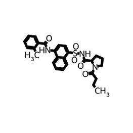 CCCC(=O)N1CCCC1C(=O)NS(=O)(=O)c1ccc(NC(=O)c2ccccc2C)c2ccccc12